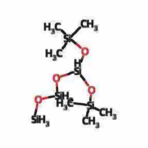 C[Si](C)(C)O[SiH](O[SiH2]O[SiH3])O[Si](C)(C)C